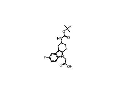 CC(C)(C)OC(=O)NC1CCc2c(c3cc(F)ccc3n2CC(=O)O)C1